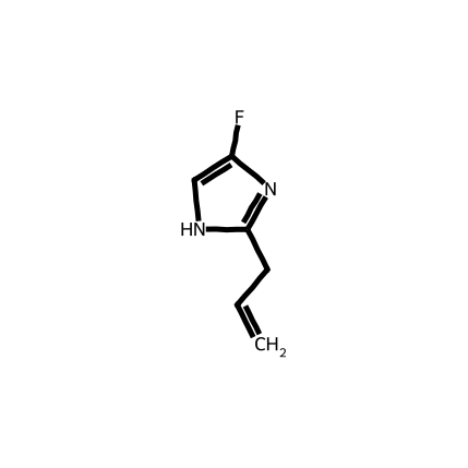 C=CCc1nc(F)c[nH]1